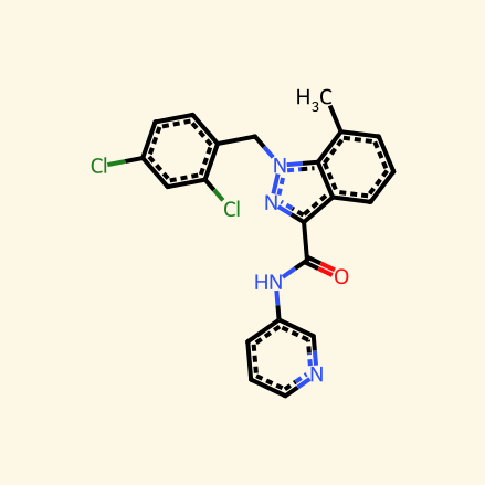 Cc1cccc2c(C(=O)Nc3cccnc3)nn(Cc3ccc(Cl)cc3Cl)c12